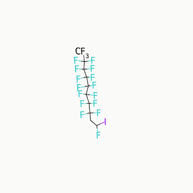 FC(I)CC(F)(F)C(F)(F)C(F)(F)C(F)(F)C(F)(F)C(F)(F)C(F)(F)C(F)(F)F